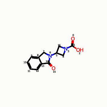 O=C(O)N1CC(N2Cc3ccccc3C2=O)C1